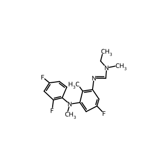 CCN(C)C=Nc1cc(F)cc(N(C)c2ccc(F)cc2F)c1C